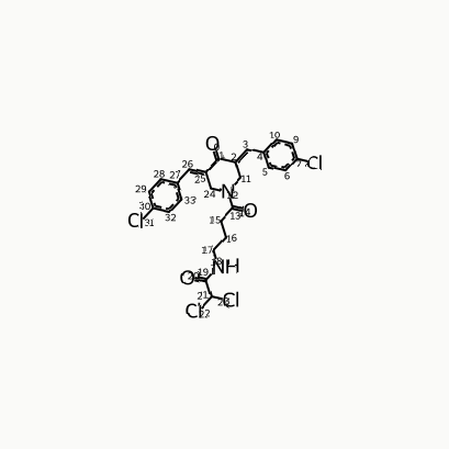 O=C1/C(=C/c2ccc(Cl)cc2)CN(C(=O)CCCNC(=O)C(Cl)Cl)C/C1=C\c1ccc(Cl)cc1